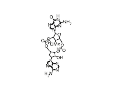 COC1C2CO[PH](=O)OC3C(CO[PH](=O)OC1C(n1cnc4c(=O)[nH]c(N)nc41)O2)CC(n1cnc2c(N)ncnc21)C3O